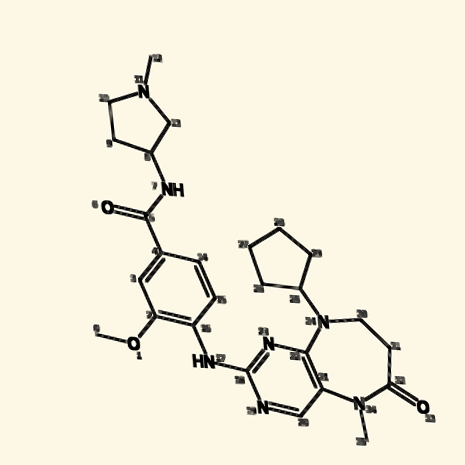 COc1cc(C(=O)NC2CCN(C)C2)ccc1Nc1ncc2c(n1)N(C1CCCC1)CCC(=O)N2C